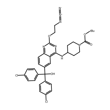 CC(C)(C)OC(=O)N1CCC(Nc2nc(OCCN=[N+]=[N-])nc3ccc(C(O)(c4ccc(Cl)cc4)c4ccc(Cl)cc4)cc23)CC1